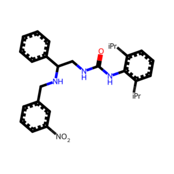 CC(C)c1cccc(C(C)C)c1NC(=O)NCC(NCc1cccc([N+](=O)[O-])c1)c1ccccc1